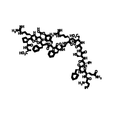 CC(C)C[C@H](N)C(=O)N[C@@H](CCC(N)=O)C(=O)N[C@@H](Cc1ccccc1)C(=O)N[C@H](C(=O)N[C@@H](CS)C(=O)NCC(=O)N[C@@H](CC(=O)O)C(=O)N[C@@H](CCCNC(=N)N)C(=O)NCC(=O)N[C@@H](Cc1ccccc1)C(=O)N[C@@H](Cc1ccc(O)cc1)C(=O)N[C@@H](Cc1ccccc1)C(=O)N[C@@H](CO)C(=O)N[C@@H](CCCNC(=N)N)C(=O)N1CCC[C@H]1C(=O)N[C@@H](C)C(=O)O)C(C)C